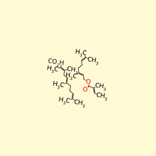 C/C=C(\C)C(=O)OC/C=C(\C)CCC=C(C)C.CC(C)=CCC/C(C)=C/C/C(C)=C(\C)C(=O)O